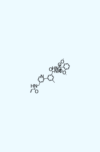 C=CC(=O)NCc1ccnc(-c2cc(C)cc(C(=O)NNS(=O)(=O)c3c(OC)cccc3OC)c2)c1